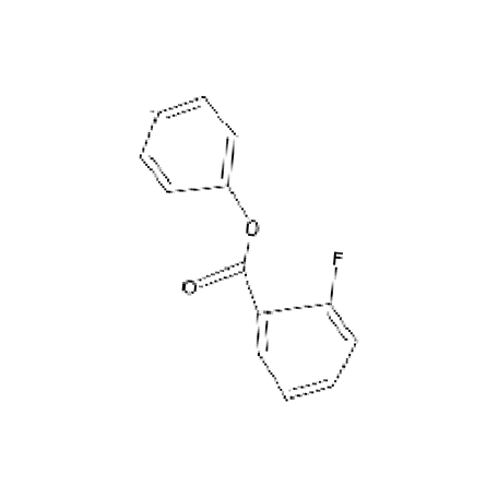 O=C(Oc1cc[c]cc1)c1ccccc1F